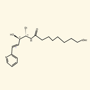 CCCCCCCCCCCCCCCCCC(=O)N[C@@H](CC)[C@H](O)/C=C/c1ccccn1